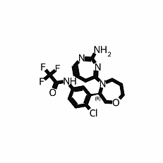 NC1=NC#CCC(N2CCCOC[C@H]2c2cc(NC(=O)C(F)(F)F)ccc2Cl)=N1